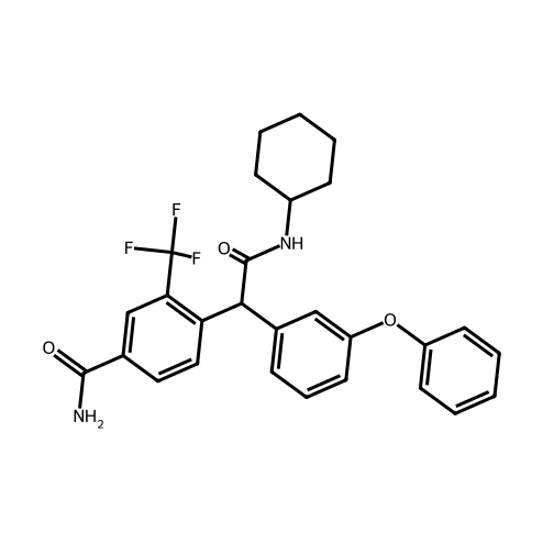 NC(=O)c1ccc(C(C(=O)NC2CCCCC2)c2cccc(Oc3ccccc3)c2)c(C(F)(F)F)c1